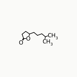 CC(C)CCCC1CCC(=O)O1